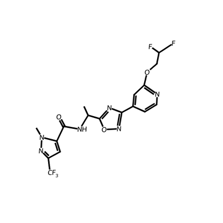 CC(NC(=O)c1cc(C(F)(F)F)nn1C)c1nc(-c2ccnc(OCC(F)F)c2)no1